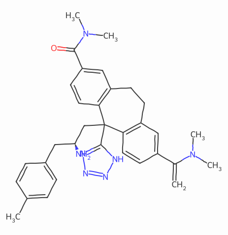 C=C(c1ccc2c(c1)CCc1cc(C(=O)N(C)C)ccc1C2(C[C@@H](N)Cc1ccc(C)cc1)c1nnn[nH]1)N(C)C